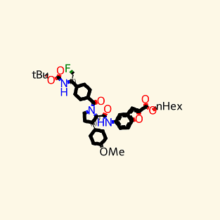 CCCCCCOC(=O)c1cc2cc(NC(=O)[C@H]3[C@H](C4CCC(OC)CC4)CCN3C(=O)C3CCC([C@@H](CF)NC(=O)OC(C)(C)C)CC3)ccc2o1